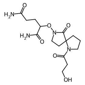 NC(=O)CCC(ON1CCC2(CCCN2C(=O)CCO)C1=O)C(N)=O